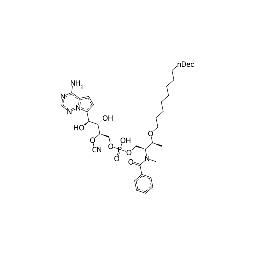 CCCCCCCCCCCCCCCCCCO[C@@H](C)[C@H](COP(=O)(O)OC[C@@H](OC#N)[C@@H](O)[C@@H](O)c1ccc2c(N)ncnn12)N(C)C(=O)c1ccccc1